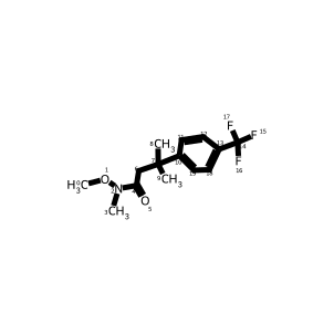 CON(C)C(=O)CC(C)(C)c1ccc(C(F)(F)F)cc1